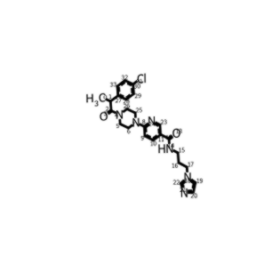 CC(C(=O)N1CCN(c2ccc(C(=O)NCCCn3ccnc3)cn2)CC1)c1ccc(Cl)cc1